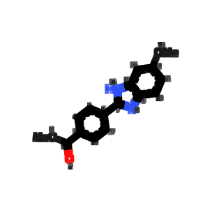 COC(=O)c1ccc(-c2nc3ccc(OC)cc3[nH]2)cc1